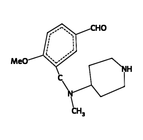 COc1ccc(C=O)cc1CN(C)C1CCNCC1